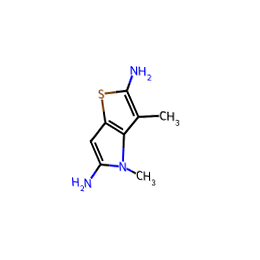 Cc1c(N)sc2cc(N)n(C)c12